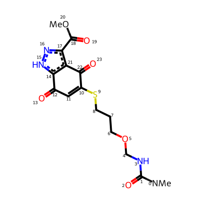 CNC(=O)NCOCCCSC1=CC(=O)c2[nH]nc(C(=O)OC)c2C1=O